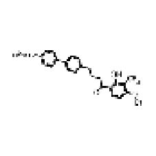 CCCCCc1ccc(-c2ccc(CCCC(=O)c3ccc(OCC)c(C(F)(F)F)c3O)cc2)cc1